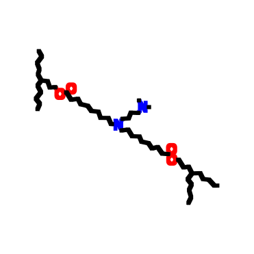 CCCCCC(CCCCC)CCCOC(=O)CCCCCCCCCN(CCCCCCCCCC(=O)OCCCC(CCCCC)CCCCC)CCCCN(C)C